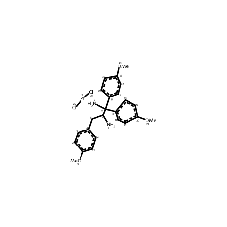 COc1ccc(CC(N)C(N)(c2ccc(OC)cc2)c2ccc(OC)cc2)cc1.[Cl][Pt][Cl]